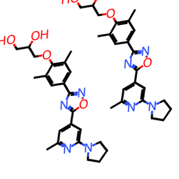 Cc1cc(-c2nc(-c3cc(C)c(OCC(O)CO)c(C)c3)no2)cc(N2CCCC2)n1.Cc1cc(-c2nc(-c3cc(C)c(OCC(O)CO)c(C)c3)no2)cc(N2CCCC2)n1